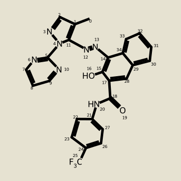 Cc1cnn(-c2ncccn2)c1/N=N/c1c(O)c(C(=O)Nc2ccc(C(F)(F)F)cc2)cc2ccccc12